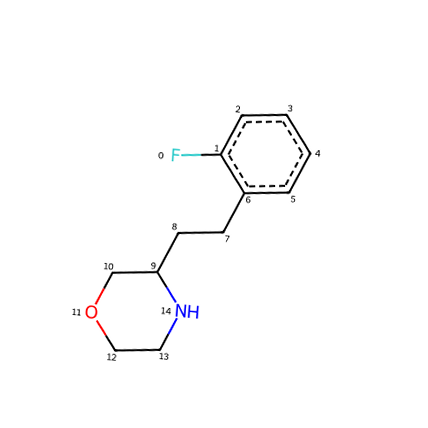 Fc1ccccc1CCC1COCCN1